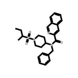 CCC(C)S(=O)(=O)N1CCC(N(Cc2ccccc2)C(=O)c2cc3ccccc3cn2)CC1